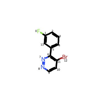 Fc1cccc(-c2nnccc2Br)c1